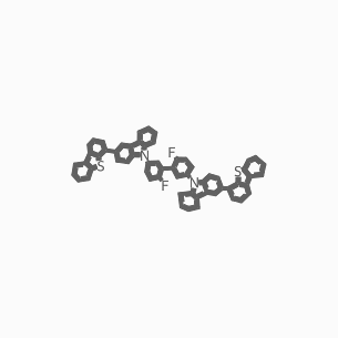 Fc1ccc(-n2c3ccccc3c3cc(-c4cccc5c4sc4ccccc45)ccc32)cc1-c1cc(-n2c3ccccc3c3cc(-c4cccc5c4sc4ccccc45)ccc32)ccc1F